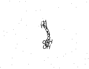 O=C(O)c1ccccc1Nc1ccc2c(c1)CN(c1ccc(N3CC[C@@H]4CCCC[C@H]4C3)cc1)C2